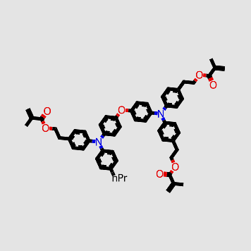 C=C(C)C(=O)OCCc1ccc(N(c2ccc(CCC)cc2)c2ccc(Oc3ccc(N(c4ccc(CCOC(=O)C(=C)C)cc4)c4ccc(CCOC(=O)C(=C)C)cc4)cc3)cc2)cc1